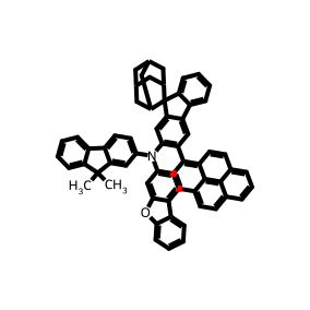 CC1(C)c2ccccc2-c2ccc(N(c3ccc4c(c3)oc3ccccc34)c3cc4c(cc3-c3ccc5ccc6cccc7ccc3c5c67)-c3ccccc3C43C4CC5CC(C4)CC3C5)cc21